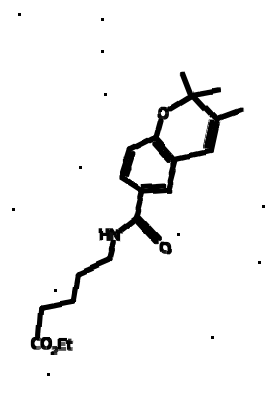 CCOC(=O)CCCCNC(=O)c1ccc2c(c1)C=C(C)C(C)(C)O2